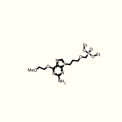 CCOP(=O)(COCCCn1cnc2c(OCCOC)nc(N)nc21)OCC